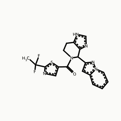 CC(F)(F)c1ncc(C(=O)N2CCc3[nH]cnc3C2c2cc3ccccn3n2)s1